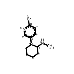 CNC1CCCCN1c1ccc(Br)nc1